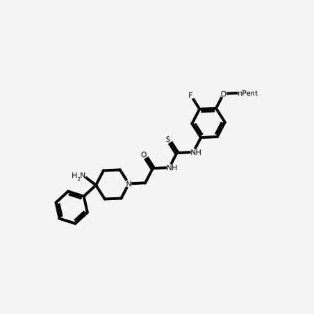 CCCCCOc1ccc(NC(=S)NC(=O)CN2CCC(N)(c3ccccc3)CC2)cc1F